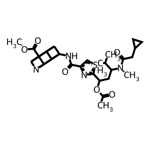 COC(=O)C12C3C4C1N1C2C3C41NC(=O)c1csc(C(CC(C(C)C)N(C)C(=O)CC2CC2)OC(C)=O)n1